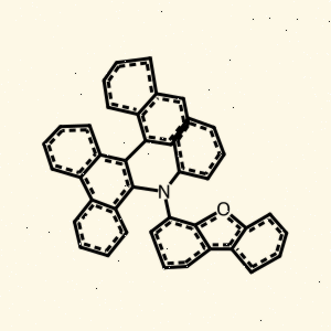 c1ccc(N(c2c(-c3cccc4ccccc34)c3ccccc3c3ccccc23)c2cccc3c2oc2ccccc23)cc1